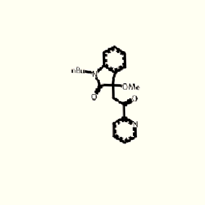 CCCCN1C(=O)C(CC(=O)c2ccccn2)(OC)c2ccccc21